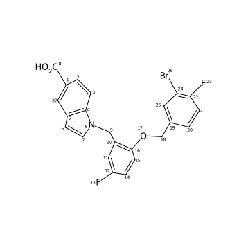 O=C(O)c1ccc2c(ccn2Cc2cc(F)ccc2OCc2ccc(F)c(Br)c2)c1